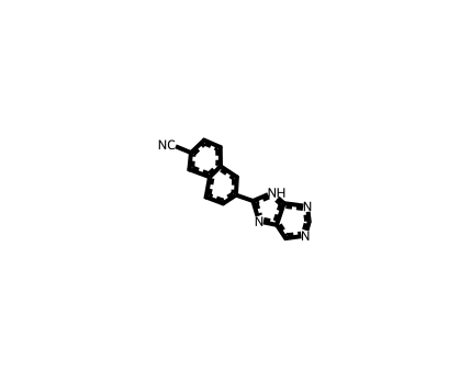 N#Cc1ccc2cc(-c3nc4cncnc4[nH]3)ccc2c1